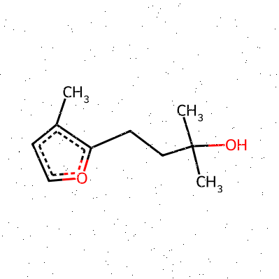 Cc1ccoc1CCC(C)(C)O